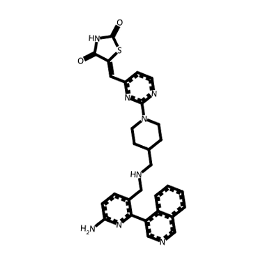 Nc1ccc(CNCC2CCN(c3nccc(/C=C4\SC(=O)NC4=O)n3)CC2)c(-c2cncc3ccccc23)n1